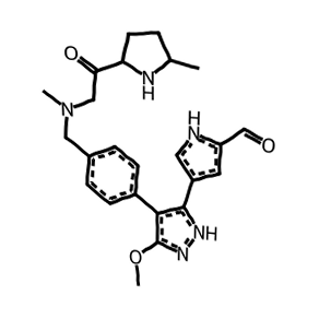 COc1n[nH]c(-c2c[nH]c(C=O)c2)c1-c1ccc(CN(C)CC(=O)C2CCC(C)N2)cc1